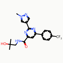 Cn1cc(-c2nc(C(=O)NCC(C)(C)O)cc(-c3ccc(C(F)(F)F)cc3)n2)cn1